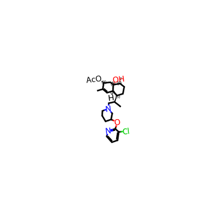 CC(=O)O[C@@H]1[CH][C@@]2(O)[C@H](C)CC[C@@H](C(C)CN3CCCC(Oc4ncccc4Cl)C3)[C@H]2C=C1C